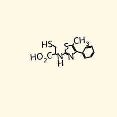 Cc1sc(NC(CS)C(=O)O)nc1-c1ccccc1